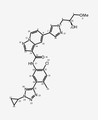 COC[C@@H](O)Cn1cc(-c2ccn3ncc(C(=O)Nc4cc(-c5nnn(C6CC6)n5)c(C)cc4Cl)c3c2)cn1